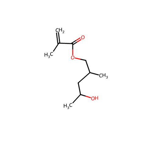 C=C(C)C(=O)OCC(C)CC(C)O